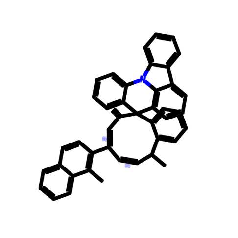 C=C1/C=C(c2ccc3ccccc3c2C)\C=C/C(C)c2ccccc2C12c1ccccc1-n1c3ccccc3c3cccc2c31